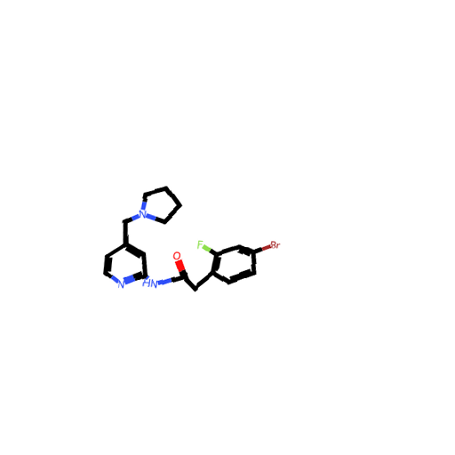 O=C(Cc1ccc(Br)cc1F)Nc1cc(CN2CCCC2)ccn1